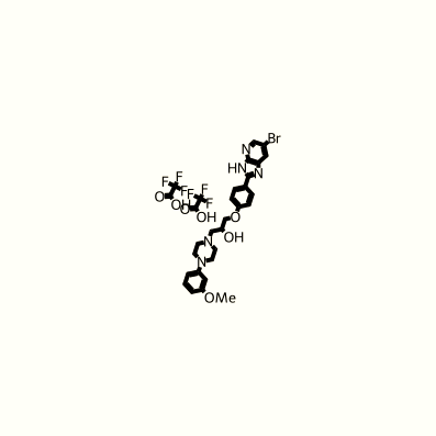 COc1cccc(N2CCN(CC(O)COc3ccc(-c4nc5cc(Br)cnc5[nH]4)cc3)CC2)c1.O=C(O)C(F)(F)F.O=C(O)C(F)(F)F